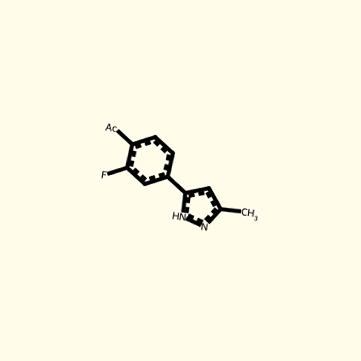 CC(=O)c1ccc(-c2cc(C)n[nH]2)cc1F